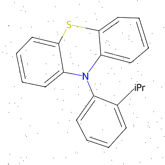 CC(C)c1ccccc1N1c2ccccc2Sc2ccccc21